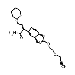 C#CCOCCOc1ncc2cc(C(=CCN3CCCCC3)C(N)=O)ccc2n1